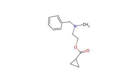 CN(CCOC(=O)C1CC1)Cc1ccccc1